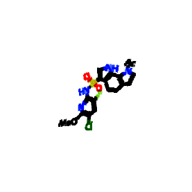 COc1nc(NS(=O)(=O)c2c[nH]c3c2ccc2ccn(C(C)=O)c23)c(F)cc1Cl